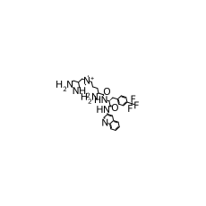 C[N+](C)(CCC[C@H](N)C(=O)N[C@@H](Cc1ccc(C(F)(F)F)cc1)C(=O)Nc1cnc2ccccc2c1)CC(CN)CN